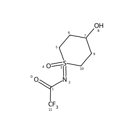 O=C(N=S1(=O)CCC(O)CC1)C(F)(F)F